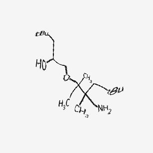 CC(C)(C)CC(O)COC(C)(C)C(C)(N)CC(C)(C)C